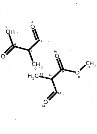 CC(C=O)C(=O)O.COC(=O)C(C)C=O